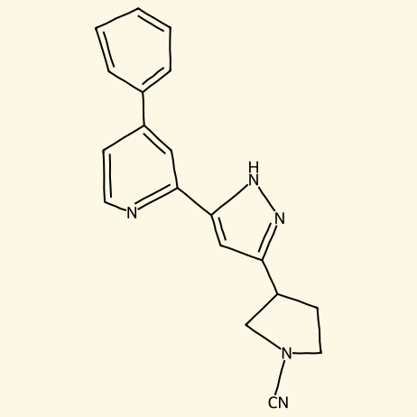 N#CN1CCC(c2cc(-c3cc(-c4ccccc4)ccn3)[nH]n2)C1